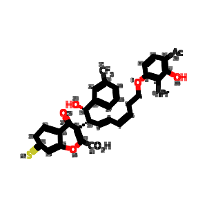 CCCc1c(OCC/C=C\C=C\[C@H](c2c(C(=O)O)oc3c(c2=O)=CCC(=S)C=3)[C@H](O)c2cccc(C(F)(F)F)c2)ccc(C(C)=O)c1O